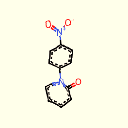 O=c1ccccn1-c1ccc([N+](=O)[O-])cc1